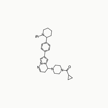 CC(C)N1CCCCC1c1ccc(-c2cc3n(c2)N=CCC3N2CCN(C(=O)C3CC3)CC2)cc1